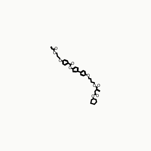 C=CC(=O)OCCCOc1ccc(C(=O)Oc2ccc(-c3ccc(OCCCCOC(=O)C(=C)CC(=O)OC4CCCCC4)cc3)cc2)cc1